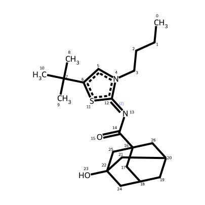 CCCCn1cc(C(C)(C)C)s/c1=N\C(=O)C12CC3CC(CC(O)(C3)C1)C2